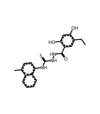 CCc1cc(C(=O)NNC(=S)Nc2ccc(C)c3ccccc23)c(O)cc1O